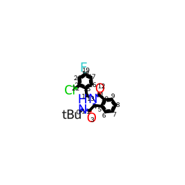 CC(C)(C)NC(=O)C1c2ccccc2C(=O)N1Cc1ccc(F)cc1Cl